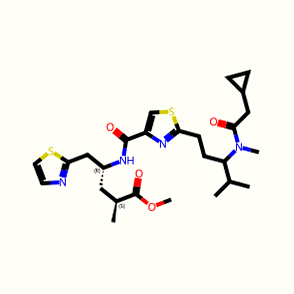 COC(=O)[C@@H](C)C[C@H](Cc1nccs1)NC(=O)c1csc(CCC(C(C)C)N(C)C(=O)CC2CC2)n1